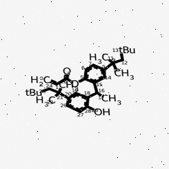 C=CC(=O)Oc1ccc(C(C)(C)CC(C)(C)C)cc1C(C)c1cc(C(C)(C)CC(C)(C)C)ccc1O